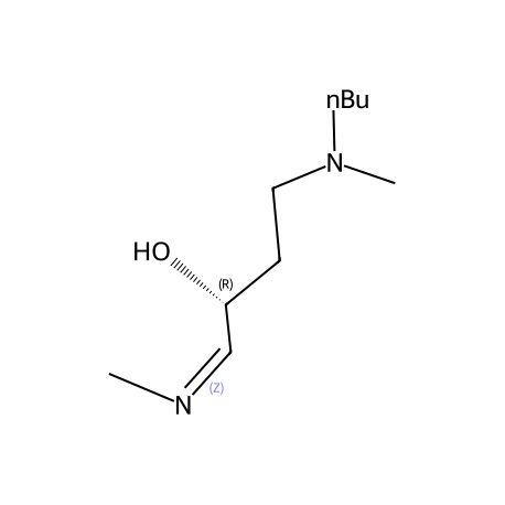 CCCCN(C)CC[C@@H](O)/C=N\C